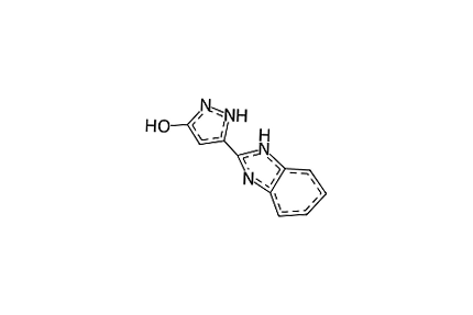 Oc1cc(-c2nc3ccccc3[nH]2)[nH]n1